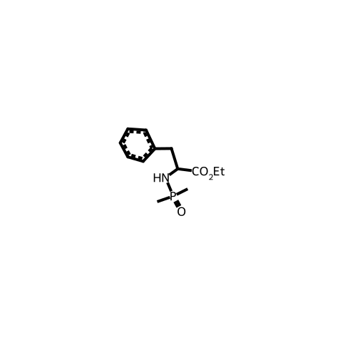 CCOC(=O)C(Cc1ccccc1)NP(C)(C)=O